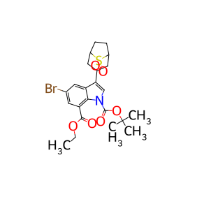 CCOC(=O)c1cc(Br)cc2c(C3CC4CCC(C3)S4(=O)=O)cn(C(=O)OC(C)(C)C)c12